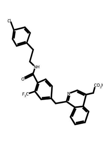 O=C(O)Cc1cnc(Cc2ccc(C(=O)NCCc3ccc(Cl)cc3)c(C(F)(F)F)c2)c2ccccc12